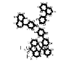 CC1(C)c2cccc3c2-c2c1cccc2C3(c1ccccc1)c1cccc(-c2ccc(N(c3ccc(-c4cccc5ccccc45)cc3)c3ccc(-c4cccc5ccccc45)cc3)cc2)c1